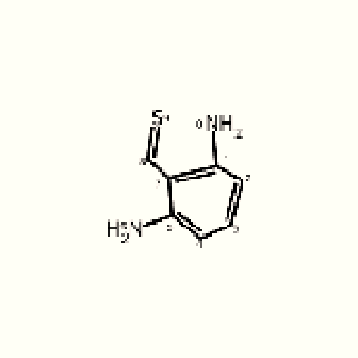 Nc1cccc(N)c1C=S